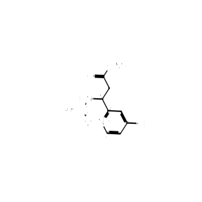 COC(=O)CC(N[S@+]([O-])C(C)(C)C)c1cc(Cl)ccn1